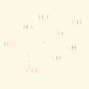 C[C](C)(C(O)O)[Sn]([CH3])([CH3])[CH3]